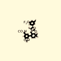 Cc1cc([C@H]2OC(=O)N(CC3=C(c4cc(CC(=O)O)cc5c4OCO5)CCC(C)(C)C3)[C@H]2C)cc(C(F)(F)F)c1